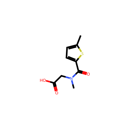 Cc1ccc(C(=O)N(C)CC(=O)O)s1